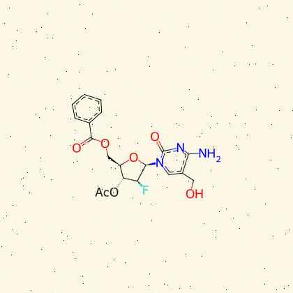 CC(=O)O[C@H]1[C@H](F)[C@H](n2cc(CO)c(N)nc2=O)O[C@@H]1COC(=O)c1ccccc1